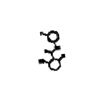 O=C1CCCC(O)=C1C(=S)Nc1cccc(F)c1